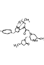 C[C@@H]1CC(=O)N(C[C@H]2CN[C@H](C)CN2CC(=O)N2CC(C)(C)c3ncc(Cc4ccc(F)cc4)cc32)C1